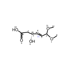 COC(/C=N/[C@H](O)CC(=O)O)OC